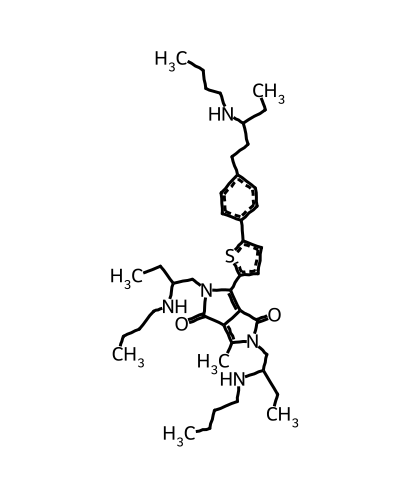 CCCCNC(CC)CCc1ccc(-c2ccc(C3=C4C(=O)N(CC(CC)NCCCC)C(C)=C4C(=O)N3CC(CC)NCCCC)s2)cc1